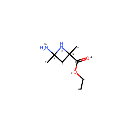 CCOC(=O)C1(C)CC(C)(N)N1